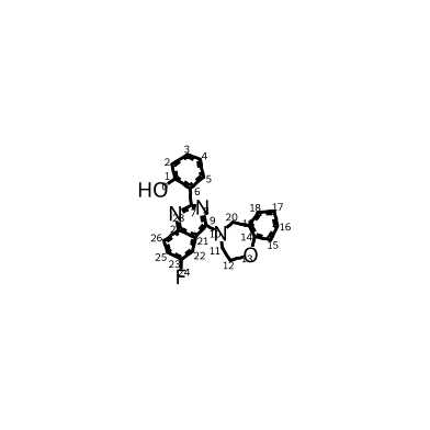 Oc1ccccc1-c1nc(N2CCOc3ccccc3C2)c2cc(F)ccc2n1